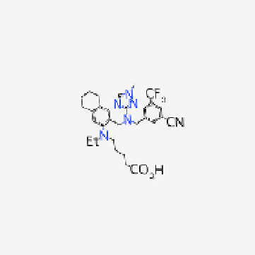 CCN(CCCCC(=O)O)c1cc2c(cc1CN(Cc1cc(C#N)cc(C(F)(F)F)c1)c1ncn(C)n1)CCCC2